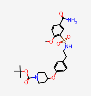 COc1ccc(C(N)=O)cc1S(=O)(=O)NCCc1ccc(OC2CCN(C(=O)OC(C)(C)C)CC2)cc1